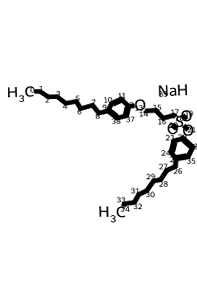 CCCCCCCCCc1ccc(OCCCCS(=O)(=O)Oc2ccc(CCCCCCCCC)cc2)cc1.[NaH]